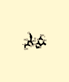 C=C1NC(N)=Nc2c1ncn2[C@@H]1OC([C@@H](C)O)C(O)[C@]1(O)C#CCl